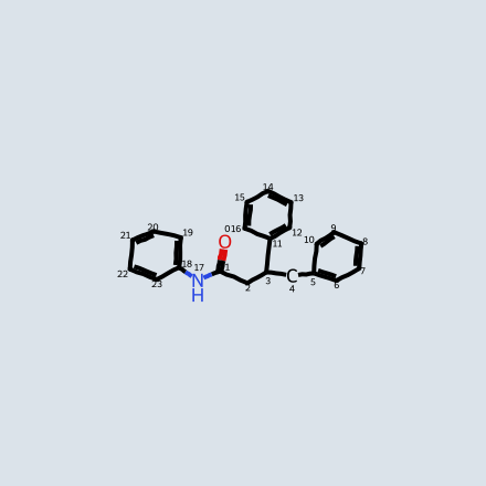 O=C(CC(Cc1ccccc1)c1ccccc1)Nc1ccccc1